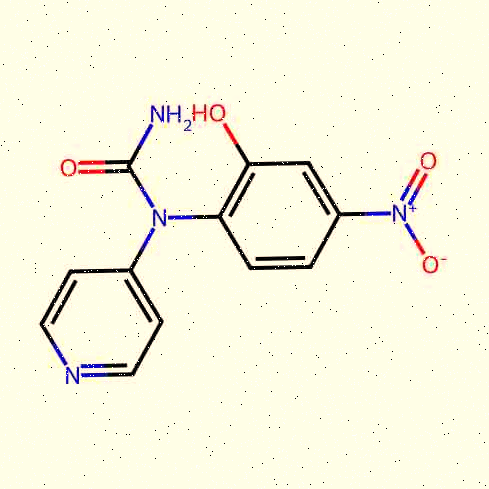 NC(=O)N(c1ccncc1)c1ccc([N+](=O)[O-])cc1O